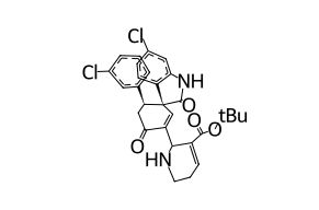 CC(C)(C)OC(=O)C1=CCCNC1C1=C[C@@]2(C(=O)Nc3cc(Cl)ccc32)[C@H](c2cccc(Cl)c2)CC1=O